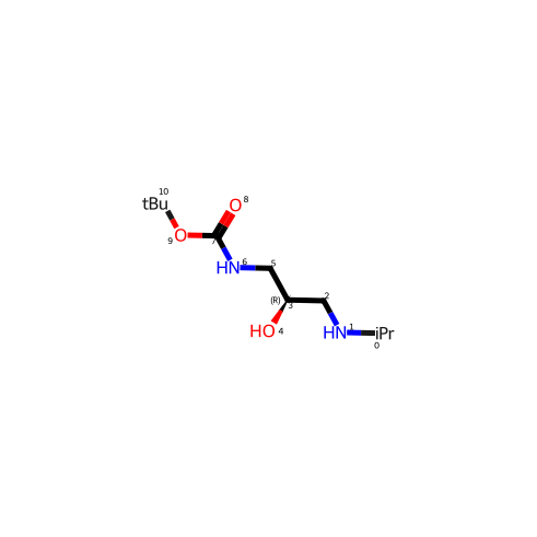 CC(C)NC[C@@H](O)CNC(=O)OC(C)(C)C